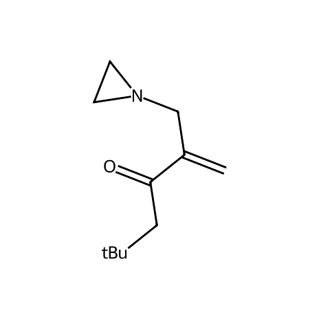 C=C(CN1CC1)C(=O)CC(C)(C)C